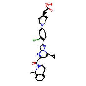 C[C@@H]1c2ccccc2CCN1C(=O)c1cc(C2CC2)n2nc(-c3ccc(N4CCC(CC(=O)O)CC4)cc3F)cc2n1